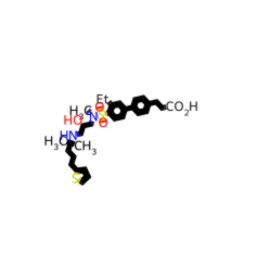 CCc1cc(-c2ccc(CCC(=O)O)cc2)ccc1S(=O)(=O)N(C)C[C@H](O)CNC(C)(C)CCCc1cccs1